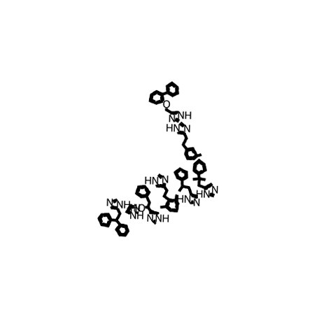 CC(C)(Cc1cnc[nH]1)c1ccccc1.CC(Cc1cnc[nH]1)c1ccccc1.Cc1cccc(C)c1CCc1c[nH]cn1.Cc1cccc(CCc2c[nH]cn2)c1.OC(Cc1ccccc1)c1c[nH]cn1.c1c[nH]cn1.c1ccc(-c2ccccc2OCc2c[nH]cn2)cc1.c1ccc(C(Cc2cnc[nH]2)c2ccccc2)cc1